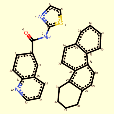 O=C(Nc1nccs1)c1ccc2ncccc2c1.c1ccc2c(c1)ccc1c3c(ccc12)CCCC3